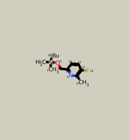 Cc1nc(CO[Si](C)(C)C(C)(C)C)ccc1F